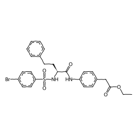 CCOC(=O)Cc1ccc(NC(=O)[C@H](CCc2ccccc2)NS(=O)(=O)c2ccc(Br)cc2)cc1